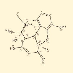 CN1CC[C@]23c4c5ccc(O)c4O[C@H]2C(=O)C=C(O)[C@@]3(O)[C@H]1C5